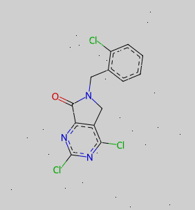 O=C1c2nc(Cl)nc(Cl)c2CN1Cc1ccccc1Cl